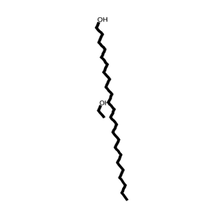 CCCCCCCCCCCCCCCCCCCCCCCCO.CCO